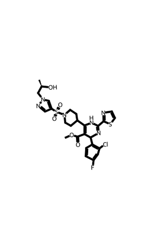 COC(=O)C1=C(C2CCN(S(=O)(=O)c3cnn(C[C@@H](C)O)c3)CC2)NC(c2nccs2)=NC1c1ccc(F)cc1Cl